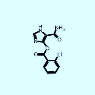 NC(=O)c1[nH]cnc1OC(=O)c1ccccc1Cl